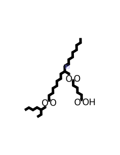 CCCCCCC/C=C/C(CCCCCCCC(=O)OCC(CC)CCCC)COC(=O)CCCCC(=O)O